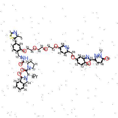 Cc1ncsc1-c1ccc(CNC(=O)[C@@H]2CCCN2C(=O)[C@H](C(C)C)N2Cc3ccccc3C2=O)c(OCCOCCOCCOc2ccc(COc3ccc4oc(-c5ccc(=O)n(C)n5)nc4c3)nc2)c1